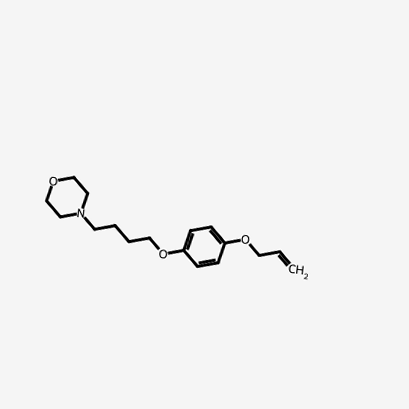 C=CCOc1ccc(OCCCCN2CCOCC2)cc1